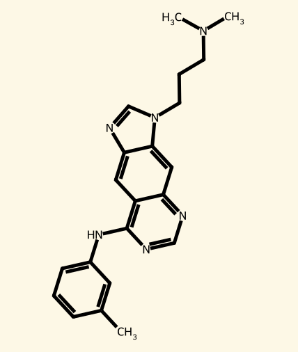 Cc1cccc(Nc2ncnc3cc4c(cc23)ncn4CCCN(C)C)c1